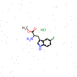 COC(=O)C(N)Cc1c[nH]c2ccc(F)cc12.Cl